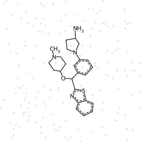 CN1CCC(OC(c2cccc(N3CCC(N)C3)c2)c2nc3ccccc3s2)CC1